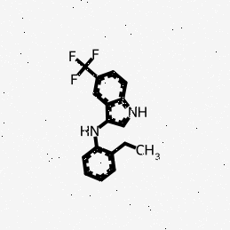 CCc1ccccc1Nc1c[nH]c2ccc(C(F)(F)F)cc12